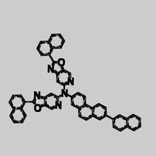 c1ccc2cc(-c3ccc4c(ccc5cc(N(c6cc7nc(-c8cccc9ccccc89)oc7cn6)c6cc7nc(-c8cccc9ccccc89)oc7cn6)ccc54)c3)ccc2c1